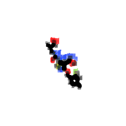 Cc1ccc(COc2nsc(NC(=O)NCC(C)CO)c2C(N)=O)c(F)c1